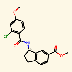 COC(=O)c1ccc2c(c1)[C@H](NC(=O)c1ccc(OC)cc1Cl)CC2